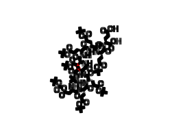 CC(C)(C)OC(=O)CC[C@H](NC(=O)[C@H](CCC(=O)OC(C)(C)C)NC(=O)[C@H](CCC(=O)OC(C)(C)C)NC(=O)[C@H](CCC(=O)OC(C)(C)C)NC(=O)[C@H](CCC(=O)OC(C)(C)C)NC(=O)[C@H](CCC(=O)OC(C)(C)C)NC(=O)[C@H](CCC(=O)OC(C)(C)C)NC(=O)[C@@H](N)CC(=O)OC(=O)OC(C)(C)C)C(=O)N[C@@H](CCC(=O)O)C(=O)O